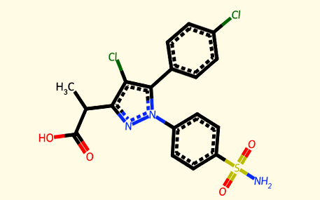 CC(C(=O)O)c1nn(-c2ccc(S(N)(=O)=O)cc2)c(-c2ccc(Cl)cc2)c1Cl